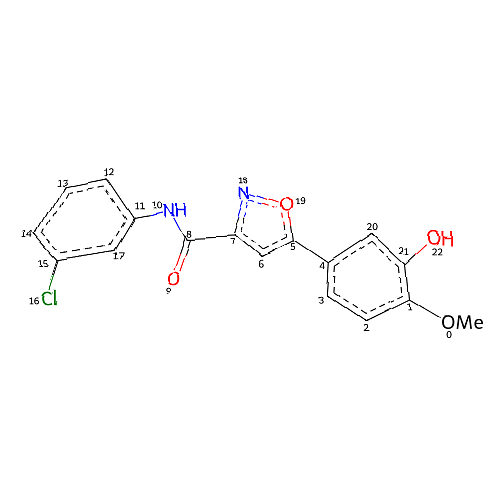 COc1ccc(-c2cc(C(=O)Nc3cccc(Cl)c3)no2)cc1O